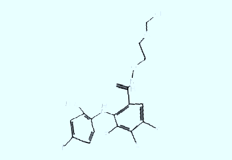 CCOCCONC(=O)c1cc(Cl)c(F)c(F)c1Nc1ccc(I)cc1C